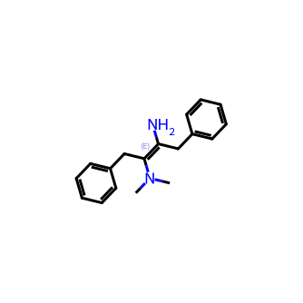 CN(C)/C(Cc1ccccc1)=C(/N)Cc1ccccc1